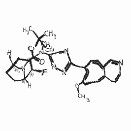 COc1cc2ccncc2cc1-c1ncc(N(C)[C@@H]2C[C@H]3CC[C@@H]([C@@H]2F)N3C(=O)OC(C)(C)C)nn1